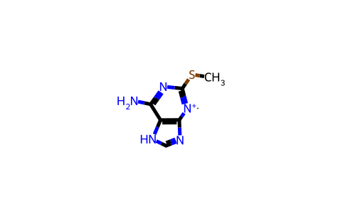 CSC1=[N+]c2nc[nH]c2C(N)=N1